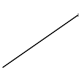 CC#CC#CC#CC#CC#CC#CC#CC#CC#CC#CC#CC#CC#CC#CC#CC#CC#CC#CC#CC#CC#CC#CC#CC#CC#CC#CC#CC#CC#CC#CC#CC#CC#CC#CC#CC#CC#CC#CC#CC#CC#CC#CC#CC#CC#CC#CC#CI